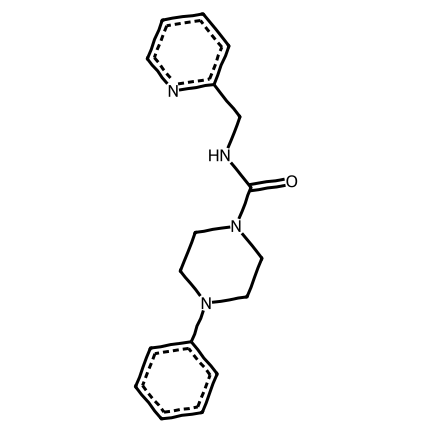 O=C(NCc1ccccn1)N1CCN(c2ccccc2)CC1